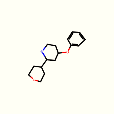 c1ccc(OC2CC[N]C(C3CCOCC3)C2)cc1